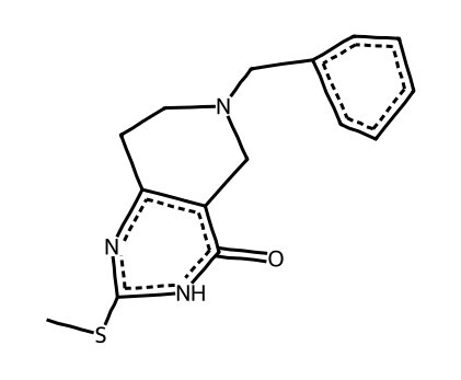 CSc1nc2c(c(=O)[nH]1)CN(Cc1ccccc1)CC2